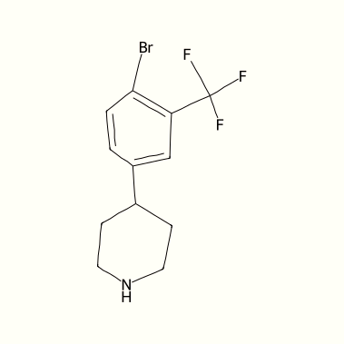 FC(F)(F)c1cc(C2CCNCC2)ccc1Br